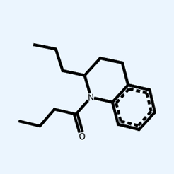 CCCC(=O)N1c2ccccc2CCC1CCC